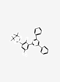 CC1(C)OB(c2cc(C(F)(F)F)cc(-c3nc(-c4ccccc4)cc(-c4ccccc4)n3)c2F)OC1(C)C